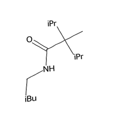 CCC(C)CNC(=O)C(C)(C(C)C)C(C)C